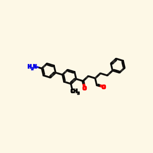 Cc1cc(-c2ccc(N)cc2)ccc1C(=O)CC(C=O)CCc1ccccc1